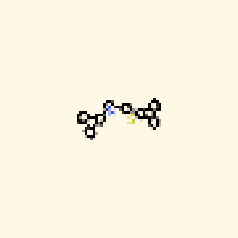 c1cc(-c2ccc3c(c2)sc2cc4c5ccccc5c5ccccc5c4cc23)nc(-c2ccc3c4ccccc4c4ccccc4c3c2)c1